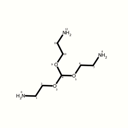 NCCOC(OCCN)OCCN